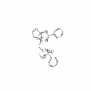 CC(C)C[C@H](CN[C@H]1CCO[C@H]1OC(=O)c1ccccc1)NS(=O)(=O)c1ccccc1